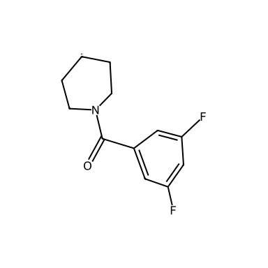 O=C(c1cc(F)cc(F)c1)N1CC[CH]CC1